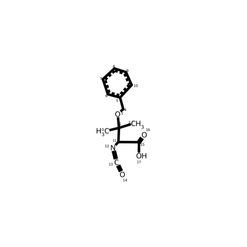 CC(C)(OCc1ccccc1)C(N=C=O)C(=O)O